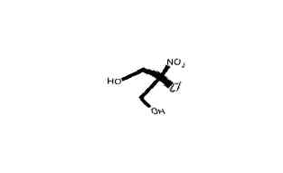 O=[N+]([O-])C(Cl)(CO)CO